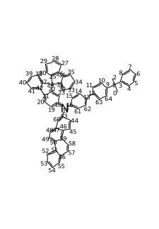 CC(C)(c1ccccc1)c1ccc(-c2ccc(N(c3ccc4c(c3)C(c3ccccc3)(c3ccccc3)c3ccccc3-4)c3ccc4c(ccc5c6ccccc6ccc45)c3)cc2)cc1